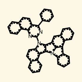 c1ccc(-c2nc(-n3c4ccc5ccccc5c4c4c3c3cc5ccccc5c5c6ccccc6n4c35)nc3c2ccc2ccccc23)cc1